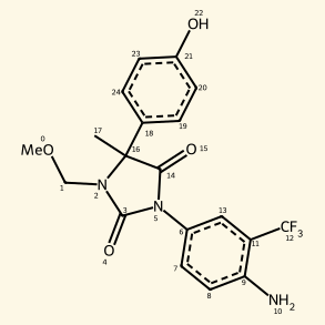 COCN1C(=O)N(c2ccc(N)c(C(F)(F)F)c2)C(=O)C1(C)c1ccc(O)cc1